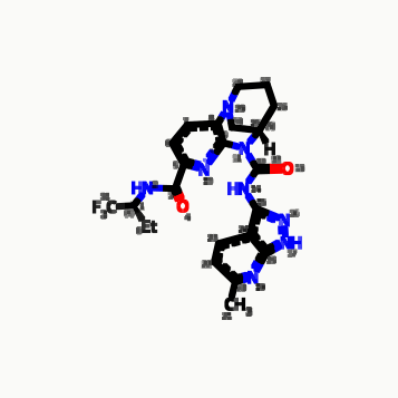 CC[C@H](NC(=O)c1ccc2c(n1)N(C(=O)Nc1n[nH]c3nc(C)ccc13)[C@H]1CCCN2C1)C(F)(F)F